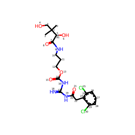 CC(C)(CO)[C@@H](O)C(=O)NCCCOC(=O)NC(=N)NC(=O)Cc1c(Cl)cccc1Cl